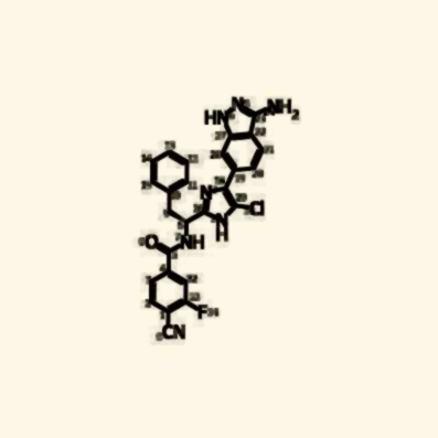 N#Cc1ccc(C(=O)N[C@@H](Cc2ccccc2)c2nc(-c3ccc4c(N)n[nH]c4c3)c(Cl)[nH]2)cc1F